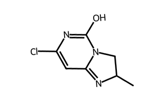 CC1CN2C(O)=NC(Cl)=CC2=N1